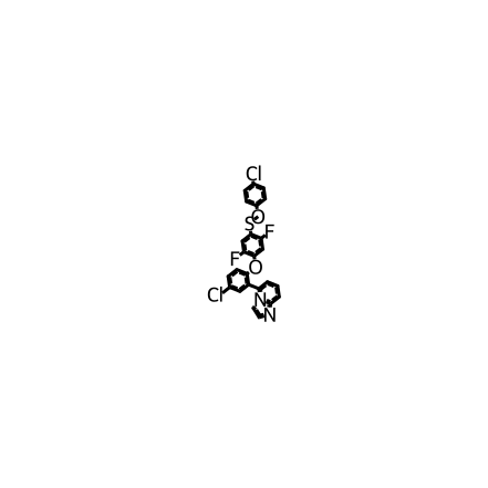 Fc1cc(SOc2ccc(Cl)cc2)c(F)cc1Oc1ccc(Cl)cc1-c1cccc2nccn12